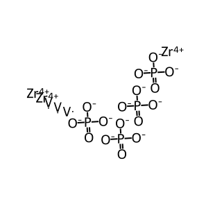 O=P([O-])([O-])[O-].O=P([O-])([O-])[O-].O=P([O-])([O-])[O-].O=P([O-])([O-])[O-].[V].[V].[V].[Zr+4].[Zr+4].[Zr+4]